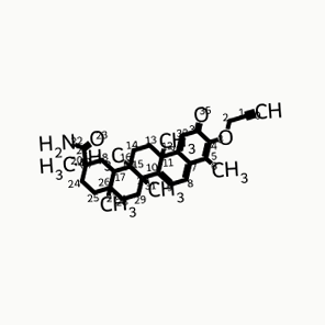 C#CCOC1=C(C)C2=CC=C3C(C)(CC[C@@]4(C)C5C[C@](C)(C(N)=O)CCC5(C)CCC34C)C2=CC1=O